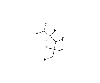 F[CH]C(F)(F)C(F)C(F)(F)C(F)F